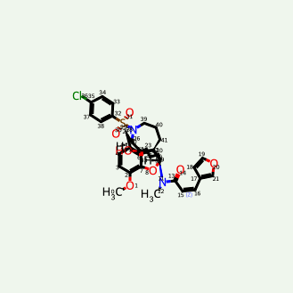 COc1ccc2c3c1O[C@H]1[C@H](N(C)C(=O)/C=C\c4ccoc4)CC[C@@]4(O)[C@@H](C2)N(S(=O)(=O)c2ccc(Cl)cc2)CCC[C@]314